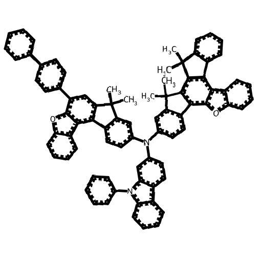 CC1(C)c2cc(N(c3ccc4c(c3)C(C)(C)c3c5c(c6c(oc7ccccc76)c3-4)-c3ccccc3C5(C)C)c3ccc4c5ccccc5n(-c5ccccc5)c4c3)ccc2-c2c1cc(-c1ccc(-c3ccccc3)cc1)c1oc3ccccc3c21